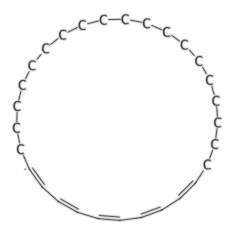 [C]1=C/C=C\C=C/C=C\C=C/CCCCCCCCCCCCCCCCCCC\1